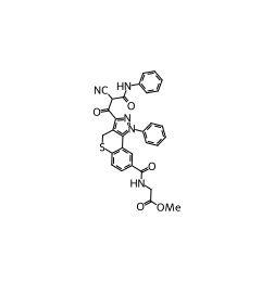 COC(=O)CNC(=O)c1ccc2c(c1)-c1c(c(C(=O)C(C#N)C(=O)Nc3ccccc3)nn1-c1ccccc1)CS2